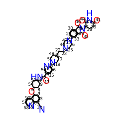 N#Cc1ccc(O[C@H]2CC[C@H](NC(=O)c3ccc(N4CCC(CCN5CCN(c6ccc7c(c6)C(=O)N(C6CCC(=O)NC6=O)C7=O)CC5)CC4)nc3)CC2)c2cccnc12